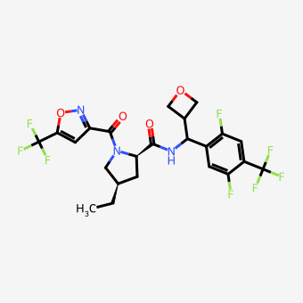 CC[C@@H]1C[C@H](C(=O)NC(c2cc(F)c(C(F)(F)F)cc2F)C2COC2)N(C(=O)c2cc(C(F)(F)F)on2)C1